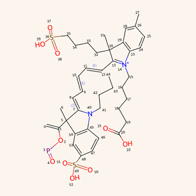 C=C(OP=O)C1(C)/C(=C/C=C/C=C/C2=[N+](CCCCCC(=O)O)c3ccc(C)cc3C2(C)CCCCS(=O)(=O)O)N(CCCC)c2ccc(S(=O)(=O)O)cc21